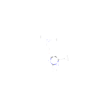 CN(C)CCOc1cc(C2CC2)nc(C(C)(C)C)n1